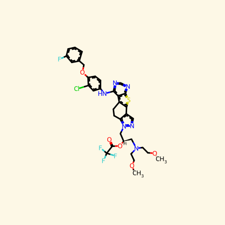 COCCN(CCOC)C[C@H](Cn1ncc2c1CCc1c-2sc2ncnc(Nc3ccc(OCc4cccc(F)c4)c(Cl)c3)c12)OC(=O)C(F)(F)F